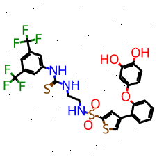 O=S(=O)(NCCNC(=S)Nc1cc(C(F)(F)F)cc(C(F)(F)F)c1)c1cc(-c2ccccc2Oc2ccc(O)c(O)c2)cs1